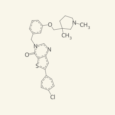 CN1CCCC(C)(COc2cccc(Cn3cnc4cc(-c5ccc(Cl)cc5)sc4c3=O)c2)C1